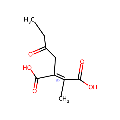 CCC(=O)C/C(C(=O)O)=C(/C)C(=O)O